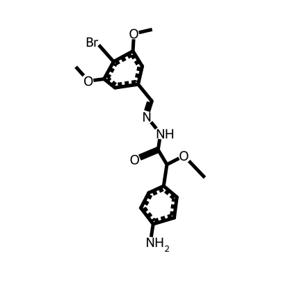 COc1cc(/C=N/NC(=O)C(OC)c2ccc(N)cc2)cc(OC)c1Br